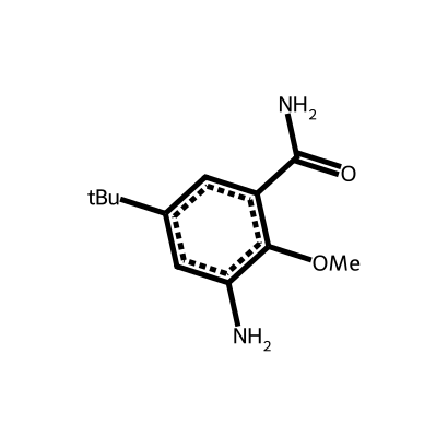 COc1c(N)cc(C(C)(C)C)cc1C(N)=O